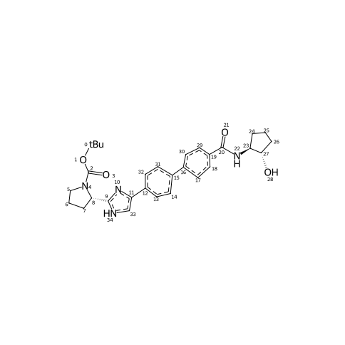 CC(C)(C)OC(=O)N1CCC[C@H]1c1nc(-c2ccc(-c3ccc(C(=O)N[C@H]4CCC[C@@H]4O)cc3)cc2)c[nH]1